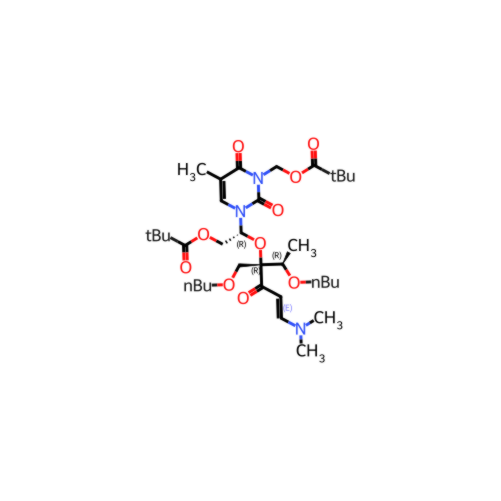 CCCCOC[C@](O[C@H](COC(=O)C(C)(C)C)n1cc(C)c(=O)n(COC(=O)C(C)(C)C)c1=O)(C(=O)/C=C/N(C)C)[C@@H](C)OCCCC